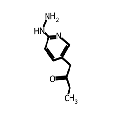 CCC(=O)Cc1ccc(NN)nc1